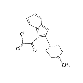 CN1CCC(c2cc3ccccn3c2C(=O)C(=O)Cl)CC1